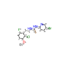 CCOc1ccc(F)c(CCNC(=S)Nc2ccc(Br)cn2)c1Cl